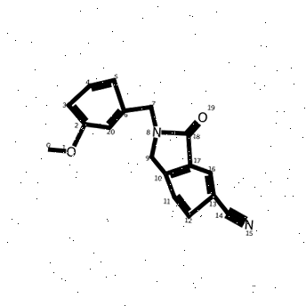 COc1cccc(CN2Cc3ccc(C#N)cc3C2=O)c1